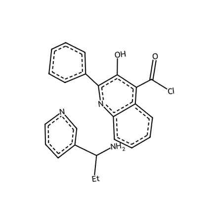 CCC(N)c1cccnc1.O=C(Cl)c1c(O)c(-c2ccccc2)nc2ccccc12